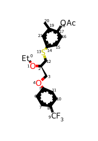 CCO[C@H](COc1ccc(C(F)(F)F)cc1)CSc1ccc(OC(C)=O)c(C)c1